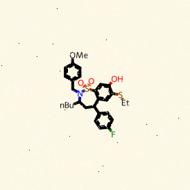 CCCCC1CC(c2ccc(F)cc2)c2cc(SCC)c(O)cc2S(=O)(=O)N1Cc1ccc(OC)cc1